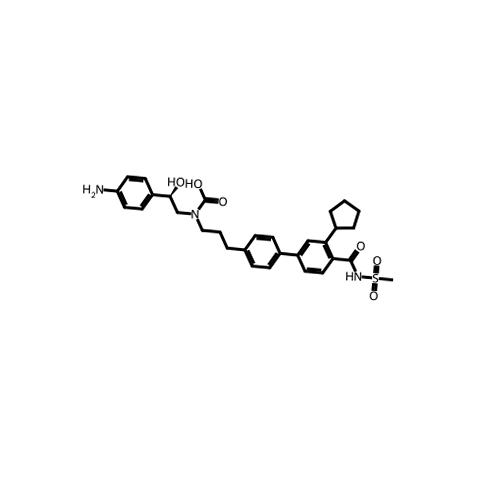 CS(=O)(=O)NC(=O)c1ccc(-c2ccc(CCCN(C[C@H](O)c3ccc(N)cc3)C(=O)O)cc2)cc1C1CCCC1